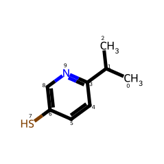 CC(C)c1ccc(S)cn1